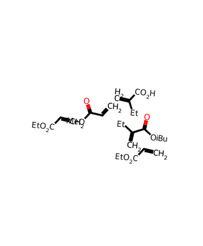 C=C(CC)C(=O)O.C=C(CC)C(=O)OCC(C)C.C=CC(=O)OC.C=CC(=O)OCC.C=CC(=O)OCC